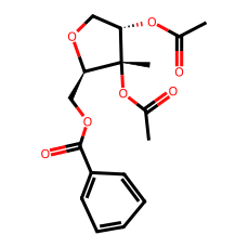 CC(=O)O[C@H]1CO[C@H](COC(=O)c2ccccc2)[C@@]1(C)OC(C)=O